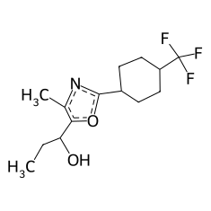 CCC(O)c1oc(C2CCC(C(F)(F)F)CC2)nc1C